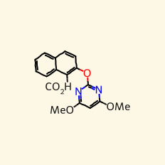 COc1cc(OC)nc(Oc2ccc3ccccc3c2C(=O)O)n1